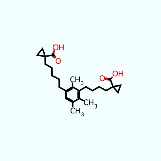 Cc1cc(CCCCCC2(C(=O)O)CC2)c(C)c(CCCCC2(C(=O)O)CC2)c1C